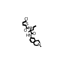 C=CCC(C)(NC(=O)c1ccc(Cl)s1)C(=O)Nc1ccc2c(c1)CCN(C)CC2